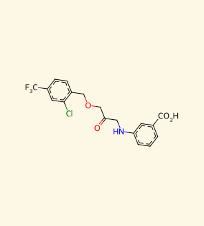 O=C(CNc1cccc(C(=O)O)c1)COCc1ccc(C(F)(F)F)cc1Cl